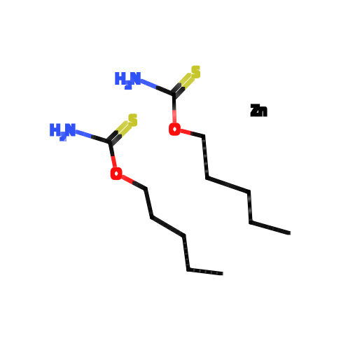 CCCCCOC(N)=S.CCCCCOC(N)=S.[Zn]